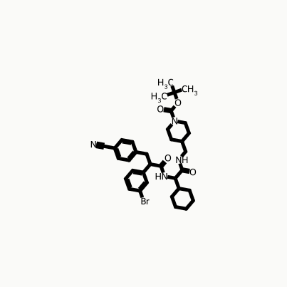 CC(C)(C)OC(=O)N1CCC(CNC(=O)C(NC(=O)C(Cc2ccc(C#N)cc2)c2cccc(Br)c2)C2CCCCC2)CC1